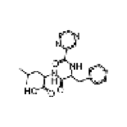 CC(C)CC(NC(=O)C(Cc1ccccc1)NC(=O)c1cnccn1)C(=O)O